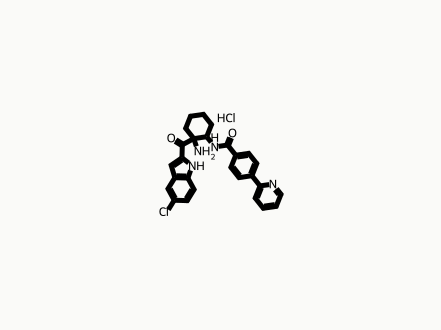 Cl.NC1(C(=O)c2cc3cc(Cl)ccc3[nH]2)CCCCC1NC(=O)c1ccc(-c2ccccn2)cc1